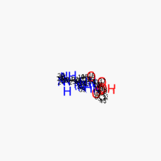 Cc1cccc(C)c1S(=O)(=O)NC(CNC(=O)c1ccc2c(CCCNC3=NCCN3)nn(C)c2c1)C(=O)O